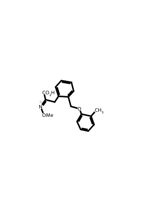 CO/N=C(\Cc1ccccc1COc1ccccc1C)C(=O)O